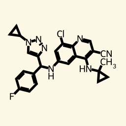 CC1(Nc2c(C#N)cnc3c(Cl)cc(NC(c4ccc(F)cc4)c4cn(C5CC5)nn4)cc23)CC1